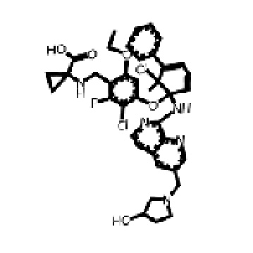 CCOc1cc(OC2(Nc3nccc4cc(CN5CCC(O)C5)cnc34)C=CC=C(c3ccccc3)C2(C)Cl)c(Cl)c(F)c1CNC1(C(=O)O)CC1